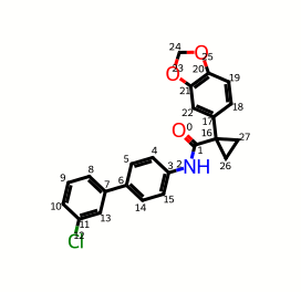 O=C(Nc1ccc(-c2cccc(Cl)c2)cc1)C1(c2ccc3c(c2)OCO3)CC1